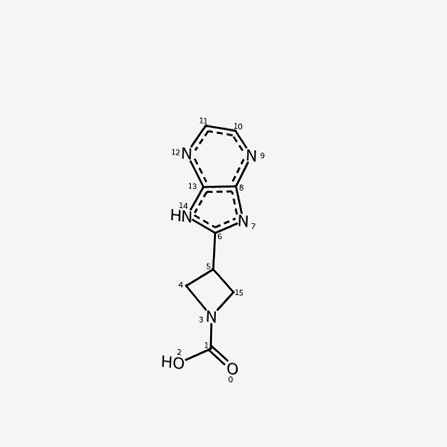 O=C(O)N1CC(c2nc3nccnc3[nH]2)C1